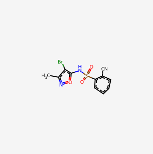 Cc1noc(NS(=O)(=O)c2ccccc2C#N)c1Br